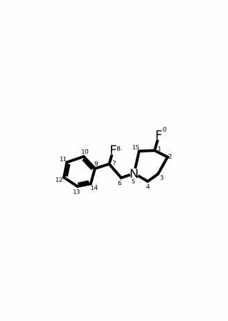 FC1CCCN(CC(F)c2ccccc2)C1